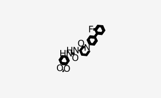 O=C(Nc1ccc2c(c1)OCO2)N[C@H]1CCCN(c2ccc(-c3ccccc3F)cc2)C1=O